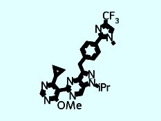 COc1ncnc(C2CC2)c1-c1ncc2c(n1)c(Cc1ccc(-c3nc(C(F)(F)F)cn3C)cc1)nn2C(C)C